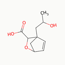 CC(O)CC12C=CC(C1)OC2C(=O)O